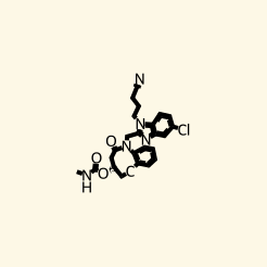 CNC(=O)O[C@H]1CCc2ccccc2N(Cc2nc3cc(Cl)ccc3n2CCCC#N)C(=O)C1